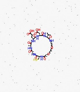 CC(C)[C@@H]1NC(=O)[C@H](CC(=O)O)NC(=O)[C@H](CCC(=O)O)NC(=O)[C@H](C)NC(=O)CNC(=O)[C@H](CS)NC(=O)COCCOCCNC1=O